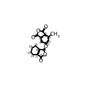 Cc1cccc2c1C(=O)OC2=O.O=C1OC(=O)C2=C1CCCC2